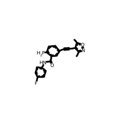 Cc1noc(C)c1C#Cc1ccc(P)c(C(=O)Nc2ccc(F)cc2)c1